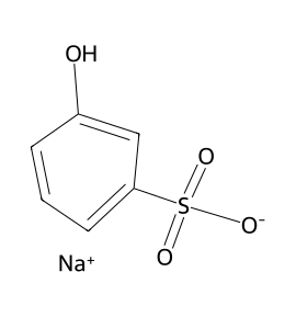 O=S(=O)([O-])c1cccc(O)c1.[Na+]